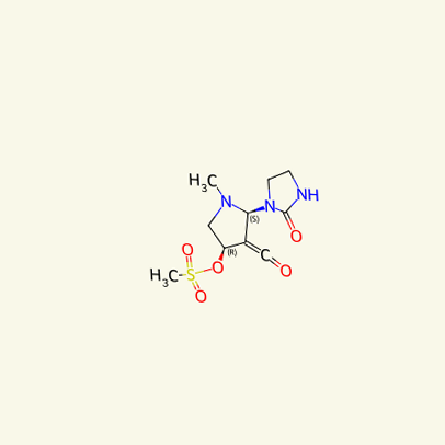 CN1C[C@H](OS(C)(=O)=O)C(=C=O)[C@@H]1N1CCNC1=O